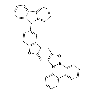 c1ccc2c(c1)-c1ccncc1B1Oc3cc4c(cc3N12)oc1ccc(-n2c3ccccc3c3ccccc32)cc14